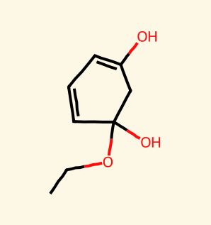 CCOC1(O)C=CC=C(O)C1